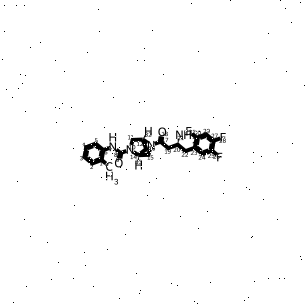 Cc1ccccc1NC(=O)N1C[C@@H]2C[C@H]1CN2C(=O)C[C@H](N)Cc1cc(F)c(F)cc1F